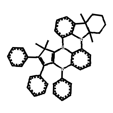 CC1(C)C2=C(C(c3ccccc3)=C1c1ccccc1)N(c1ccccc1)c1cccc3c1B2c1cccc2c1N3C1(C)CCCCC21C